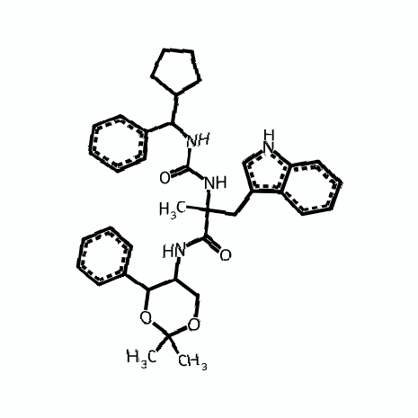 CC1(C)OCC(NC(=O)C(C)(Cc2c[nH]c3ccccc23)NC(=O)NC(c2ccccc2)C2CCCC2)C(c2ccccc2)O1